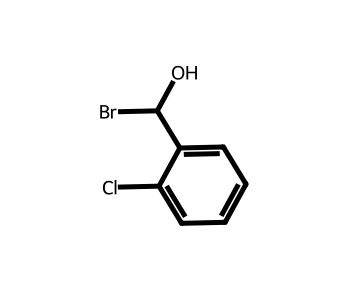 OC(Br)c1ccccc1Cl